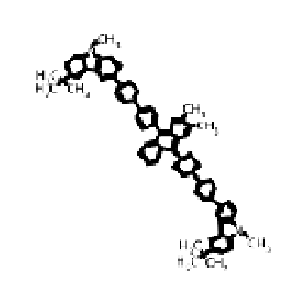 CCn1c2ccc(-c3ccc(-c4ccc(-c5c6ccccc6c(-c6ccc(-c7ccc(-c8ccc9c(c8)c8cc(C(C)(C)C)ccc8n9CC)cc7)cc6)c6cc(C)c(C)cc56)cc4)cc3)cc2c2cc(C(C)(C)C)ccc21